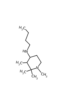 CCCCNC1CCN(C)C(C)(C)C1C